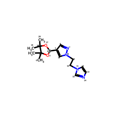 CC1(C)OB(c2cnn(CCn3ccnc3)c2)OC1(C)C